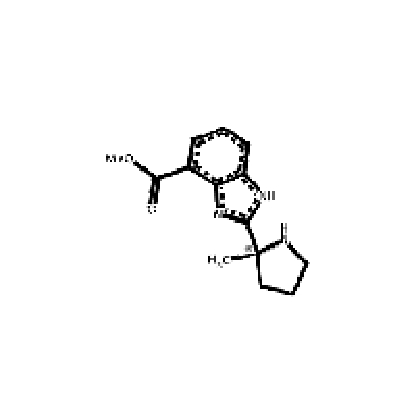 COC(=O)c1cccc2[nH]c([C@@]3(C)CCCN3)nc12